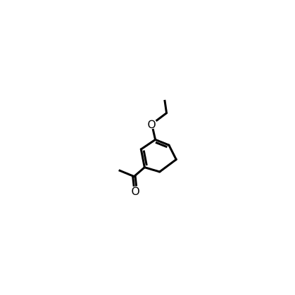 CCOC1=CCCC(C(C)=O)=C1